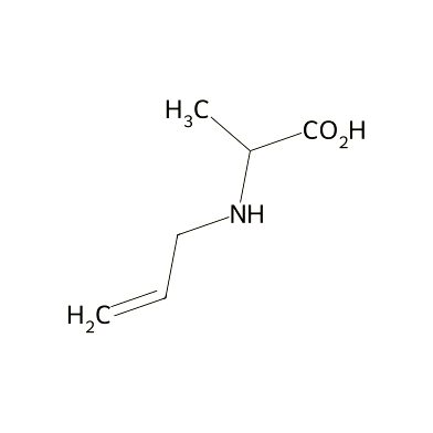 C=CCNC(C)C(=O)O